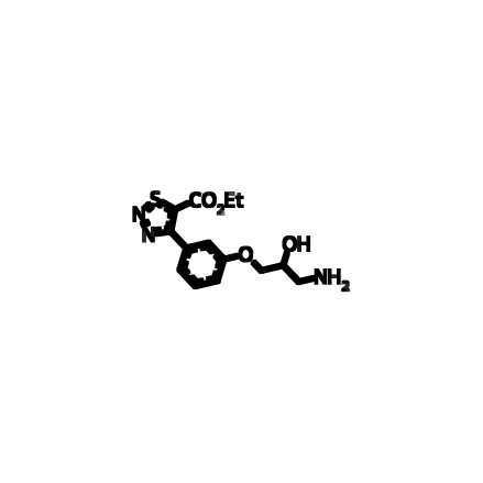 CCOC(=O)c1snnc1-c1cccc(OCC(O)CN)c1